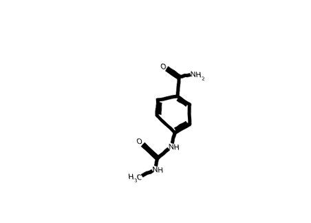 CNC(=O)Nc1ccc(C(N)=O)cc1